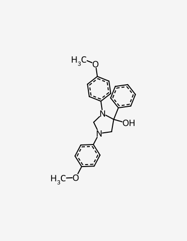 COc1ccc(N2CN(c3ccc(OC)cc3)C(O)(c3ccccc3)C2)cc1